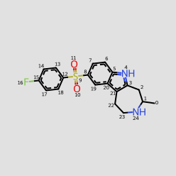 CC1Cc2[nH]c3ccc(S(=O)(=O)c4ccc(F)cc4)cc3c2CCN1